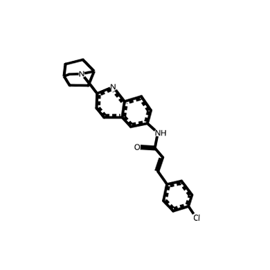 O=C(C=Cc1ccc(Cl)cc1)Nc1ccc2nc(N3CC4CCC3CC4)ccc2c1